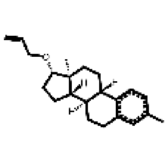 C=CCO[C@H]1CC[C@H]2[C@@H]3CCc4cc(C)ccc4[C@H]3CC[C@]12C